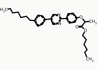 CCCCCCCc1ccc(-c2cnc(-c3ccc(OC(C)C(=O)OCCCCCC)cc3)nc2)cc1